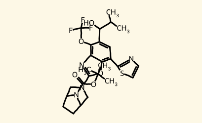 CC(C)C(O)c1cc(-c2nccs2)c2oc(N3CC4CCC(C3)N4C(=O)OC(C)(C)C)nc2c1OC(F)(F)F